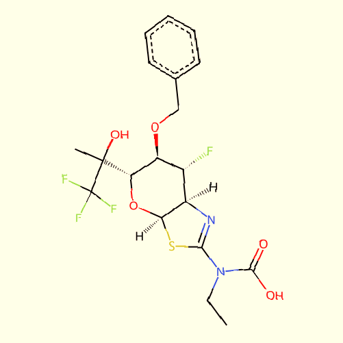 CCN(C(=O)O)C1=N[C@@H]2[C@@H](F)[C@H](OCc3ccccc3)[C@@H](C(C)(O)C(F)(F)F)O[C@@H]2S1